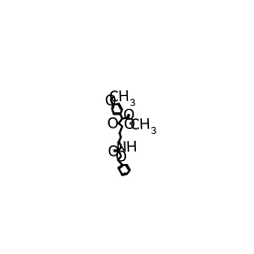 COC(=O)C(C(=O)CCCCNC(=O)OCc1ccccc1)c1ccc(OC)cc1